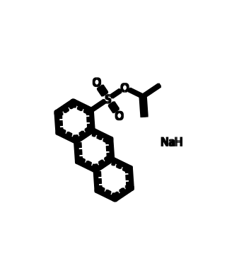 C=C(C)OS(=O)(=O)c1cccc2cc3ccccc3cc12.[NaH]